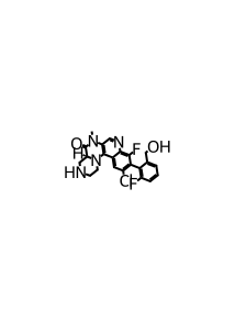 CN1C(=O)[C@H]2CNCCN2c2c1cnc1c(F)c(-c3c(F)cccc3CO)c(Cl)cc21